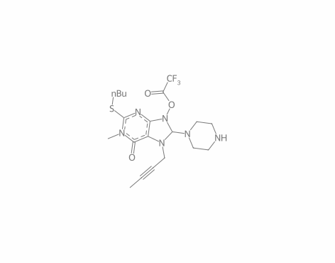 CC#CCN1c2c(nc(SCCCC)n(C)c2=O)N(OC(=O)C(F)(F)F)C1N1CCNCC1